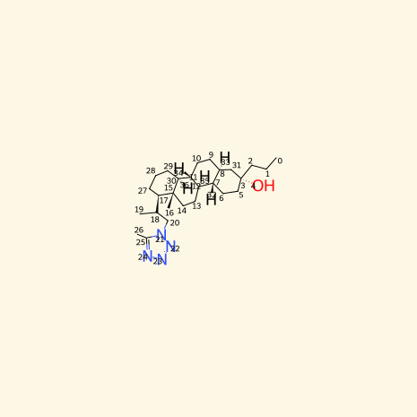 CCC[C@@]1(O)CC[C@H]2[C@@H](CC[C@@H]3[C@@H]2CC[C@]2(C)[C@@H](C(C)Cn4nnnc4C)CCC[C@@H]32)C1